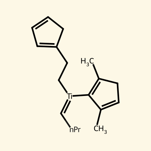 CCC[CH]=[Ti]([CH2]CC1=CC=CC1)[C]1=C(C)CC=C1C